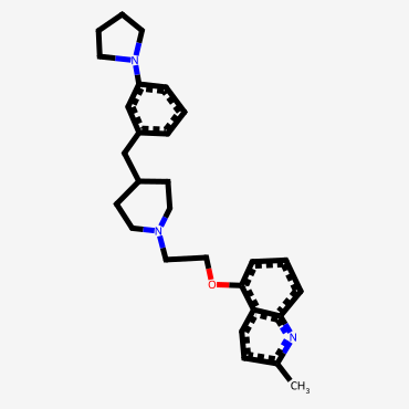 Cc1ccc2c(OCCN3CCC(Cc4cccc(N5CCCC5)c4)CC3)cccc2n1